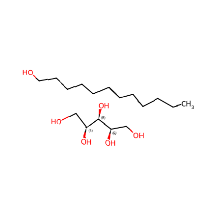 CCCCCCCCCCCCO.OC[C@@H](O)[C@H](O)[C@@H](O)CO